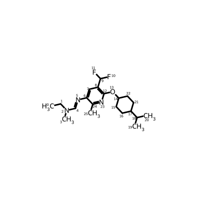 CCN(C)/C=N/c1cc(C(F)F)c(OC2CCC(C(C)C)CC2)nc1C